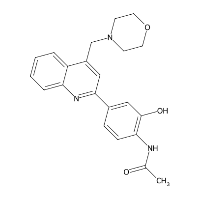 CC(=O)Nc1ccc(-c2cc(CN3CCOCC3)c3ccccc3n2)cc1O